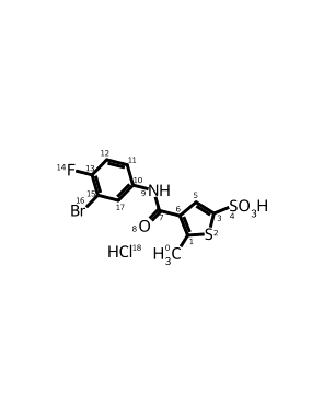 Cc1sc(S(=O)(=O)O)cc1C(=O)Nc1ccc(F)c(Br)c1.Cl